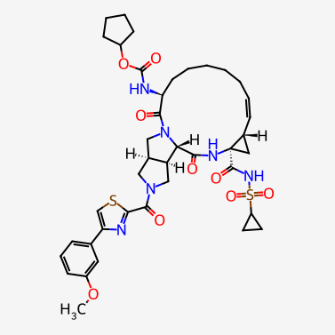 COc1cccc(-c2csc(C(=O)N3C[C@H]4CN5C(=O)[C@@H](NC(=O)OC6CCCC6)CCCCC/C=C\[C@@H]6C[C@@]6(C(=O)NS(=O)(=O)C6CC6)NC(=O)[C@@H]5[C@H]4C3)n2)c1